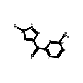 CCn1cc(C(=O)c2cccc(N)c2)cn1